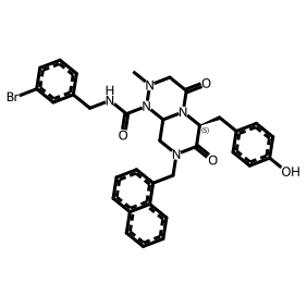 CN1CC(=O)N2C(CN(Cc3cccc4ccccc34)C(=O)[C@@H]2Cc2ccc(O)cc2)N1C(=O)NCc1cccc(Br)c1